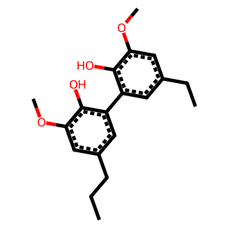 CCCc1cc(OC)c(O)c(-c2cc(CC)cc(OC)c2O)c1